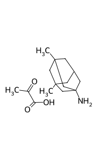 CC(=O)C(=O)O.CC12CC3CC(C)(C1)CC(N)(C3)C2